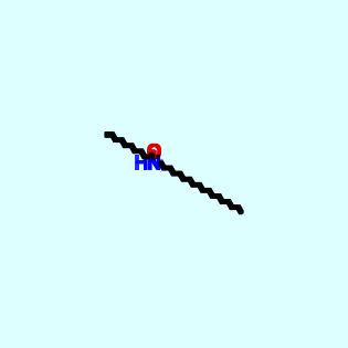 C=CCCCCCCCC(=O)NCCCCCCCCCCCCCCCCCC